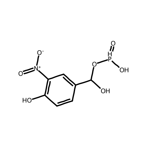 O=[N+]([O-])c1cc(C(O)O[PH](=O)O)ccc1O